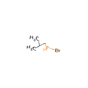 CC(C)CPBr